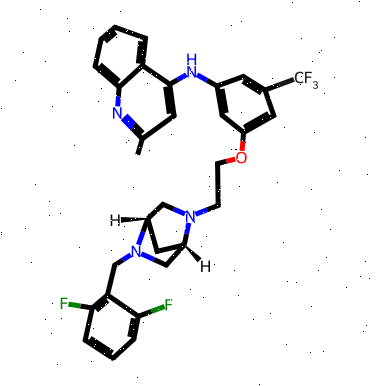 Cc1cc(Nc2cc(OCCN3C[C@@H]4C[C@H]3CN4Cc3c(F)cccc3F)cc(C(F)(F)F)c2)c2ccccc2n1